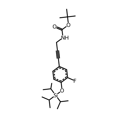 CC(C)[Si](Oc1ccc(C#CCNC(=O)OC(C)(C)C)cc1F)(C(C)C)C(C)C